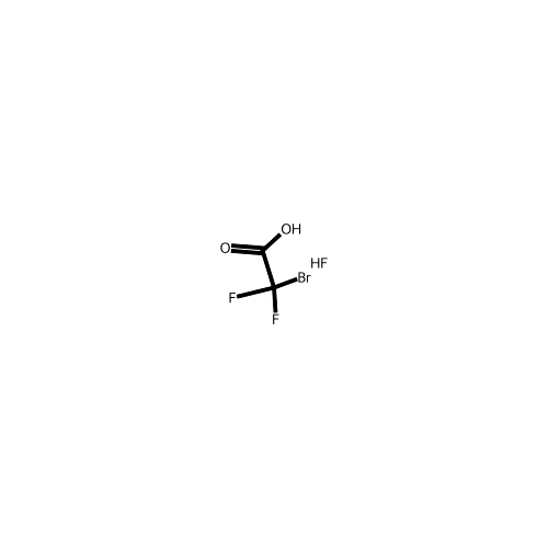 F.O=C(O)C(F)(F)Br